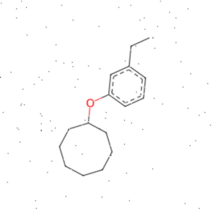 [CH2]Cc1cccc(OC2CCCCCCC2)c1